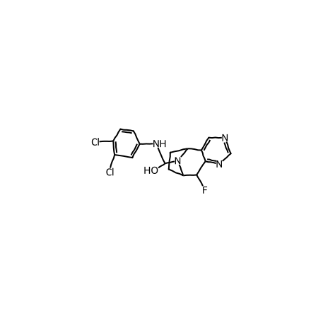 OC(Nc1ccc(Cl)c(Cl)c1)N1C2CCC1C(F)c1ncncc12